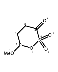 COP1CCC(=O)S(=O)(=O)O1